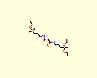 CCO[Si](C)(C)CCCNC(=O)CC(=O)NCCC[Si](C)(OCC)OCC